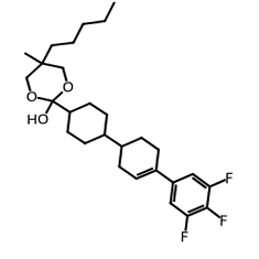 CCCCCC1(C)COC(O)(C2CCC(C3CC=C(c4cc(F)c(F)c(F)c4)CC3)CC2)OC1